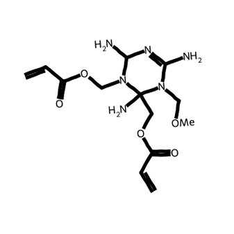 C=CC(=O)OCN1C(N)N=C(N)N(COC)C1(N)COC(=O)C=C